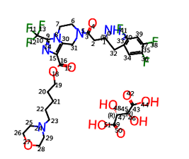 N[C@@H](CC(=O)N1CCn2c(C(F)(F)F)nc(C(=O)OCCCCCN3CCOCC3)c2C1)Cc1cc(F)c(F)cc1F.O=C(O)[C@H](O)[C@@H](O)C(=O)O